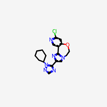 Clc1cc2c(cn1)-c1nc(-c3ncnn3C3CCCCC3)cn1CCO2